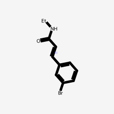 CCNC(=O)/C=C/c1cccc(Br)c1